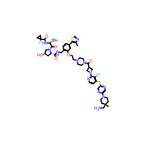 Cc1ncsc1-c1ccc(CNC(=O)[C@@H]2C[C@@H](O)CN2C(=O)[C@@H](NC(=O)C2(F)CC2)C(C)(C)C)c(OCCN2CCN(C(=O)C3CN(c4nccc(Sc5cnc(N6CCC(C)(CN)CC6)cn5)c4Cl)C3)CC2)c1